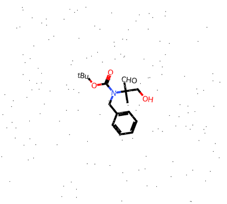 CC(C)(C)OC(=O)N(Cc1ccccc1)C(C)(C=O)CO